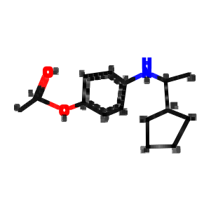 CC(=O)Oc1ccc(NC(C)C2CCCC2)cc1